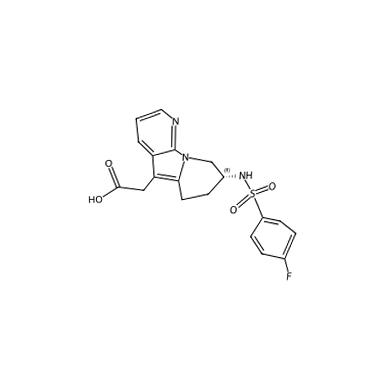 O=C(O)Cc1c2n(c3ncccc13)C[C@H](NS(=O)(=O)c1ccc(F)cc1)CC2